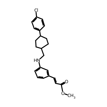 COC(=O)/C=C/c1cccc(NCC2CCC(c3ccc(Cl)cc3)CC2)c1